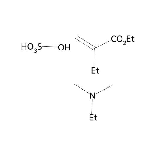 C=C(CC)C(=O)OCC.CCN(C)C.O=S(=O)(O)O